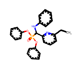 CCc1cccc(C(Nc2ccccc2)P(=O)(Oc2ccccc2)Oc2ccccc2)n1